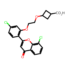 O=C(O)C1CC(OCCOc2cc(Cl)ccc2-c2cc(=O)c3cccc(Cl)c3o2)C1